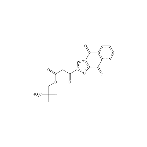 CC(C)(COC(=O)CC(=O)c1cc2c(o1)C(=O)c1ccccc1C2=O)C(=O)O